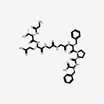 C[C@@H](O)[C@H](NC(=O)CN)C(=O)N[C@@H](CCC(=O)O)C(=O)NCC(=O)NCC(=O)N[C@@H](Cc1ccccc1)C(=O)N1CCC[C@H]1C(=O)N[C@@H](Cc1ccccc1)C(=O)O